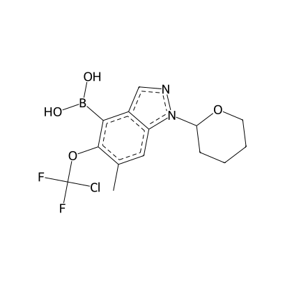 Cc1cc2c(cnn2C2CCCCO2)c(B(O)O)c1OC(F)(F)Cl